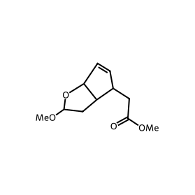 COC(=O)CC1C=CC2OC(OC)CC12